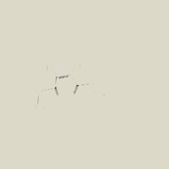 CCCCOC(=O)/C(CC)=C(/CC)C(=O)OCCCC